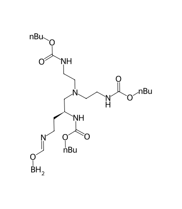 BOC=NCC[C@@H](CN(CCNC(=O)OCCCC)CCNC(=O)OCCCC)NC(=O)OCCCC